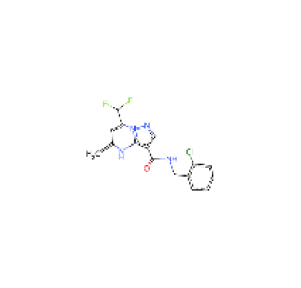 C=C1C=C(C(F)F)n2ncc(C(=O)NCc3ccccc3Cl)c2N1